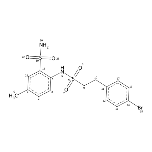 Cc1ccc(NS(=O)(=O)CCc2ccc(Br)cc2)c(S(N)(=O)=O)c1